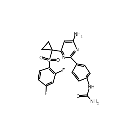 NC(=O)Nc1ccc(-c2nc(N)cc(C3(S(=O)(=O)c4ccc(F)cc4F)CC3)n2)cc1